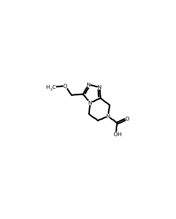 COCc1nnc2n1CCN(C(=O)O)C2